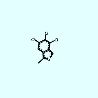 Cc1scc2c(Cl)c(Cl)c(Cl)cc12